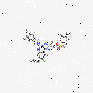 COc1cc2nc(NCc3ccc(C)c(C)c3)n3nc(CCOS(=O)(=O)c4ccc(C(F)(F)F)cc4)nc3c2cc1F